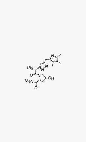 CNC(=O)[C@@H]1C[C@@H](O)CN1C(=O)[C@@H](n1cc(Cn2nc(C)c(C)c2C)nn1)C(C)(C)C